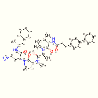 C=C(C)[C@H](NC(=O)CCc1ccc(-c2ccccc2)cc1)C(=O)N(C)[C@@H](C)C(=O)[N+](=C)[C@H](CC(C)C)C(=O)N[C@@H](CCN)C(=O)N[C@@H](CC1CCCCC1)C(C)=O